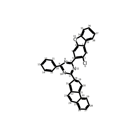 Clc1cc2c(cc1-c1nc(-c3ccccc3)nc(-c3ccc4c(ccc5ccccc54)c3)n1)oc1ccccc12